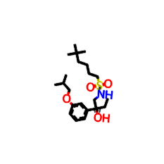 CC[C@@](O)(CNS(=O)(=O)CCCCC(C)(C)C)c1cccc(OCC(C)C)c1